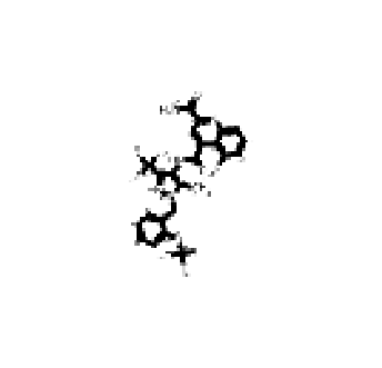 Cc1c(NC(=O)c2cc(C(N)=O)nc3cccc(F)c23)c(C(F)(F)F)nn1Cc1ccccc1OC(F)(F)F